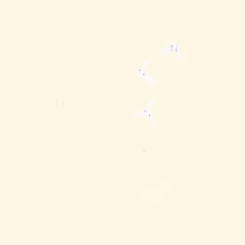 Brc1ccc2c(c1)N(c1ccncn1)CC21CCOCC1